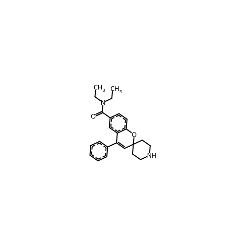 CCN(CC)C(=O)c1ccc2c(c1)C(c1ccccc1)=CC1(CCNCC1)O2